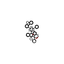 C1=C2Oc3c(cc(-c4nc(-c5ccccc5)nc(-c5cccc6oc7ccccc7c56)n4)c4ccccc34)C3(C2=CCC1)c1ccccc1Sc1ccccc13